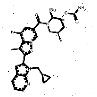 Cc1c(-c2cc3cccnc3n2CC2CC2)nn2cc(C(=O)N3C[C@H](F)C[C@@H](OC(N)=O)C3C(C)(C)C)cc(F)c12